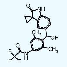 Cc1cc(NC(=O)C(F)(F)F)cc(C)c1C(O)c1ccc2c(c1)C1(CC1)C(=O)N2